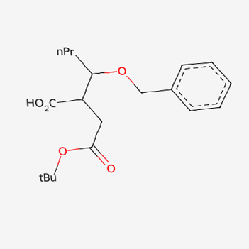 CCCC(OCc1ccccc1)C(CC(=O)OC(C)(C)C)C(=O)O